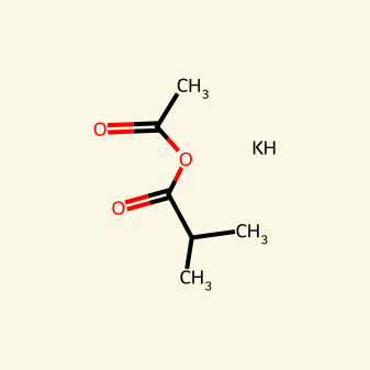 CC(=O)OC(=O)C(C)C.[KH]